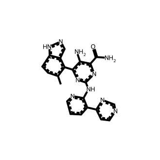 Cc1ccc2[nH]ncc2c1-c1nc(Nc2ncccc2-c2ccncn2)nc(C(N)=O)c1N